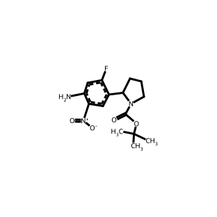 CC(C)(C)OC(=O)N1CCCC1c1cc([N+](=O)[O-])c(N)cc1F